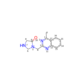 Cc1nc(CN2CNCC2=O)nc2ccccc12